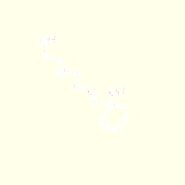 OCCOCCOCC1(O)CCCC1